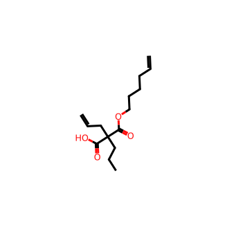 C=CCCCCOC(=O)C(CC=C)(CCC)C(=O)O